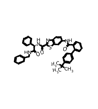 CC(C)(C)c1ccc(-c2ccccc2C(=O)Nc2ccc3nc(C(=O)N[C@H](C(=O)NCc4ccccc4)c4ccccc4)sc3c2)cc1